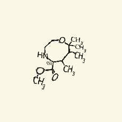 COC(=O)[C@H]1NCCOC(C)(C)C(C)C1C